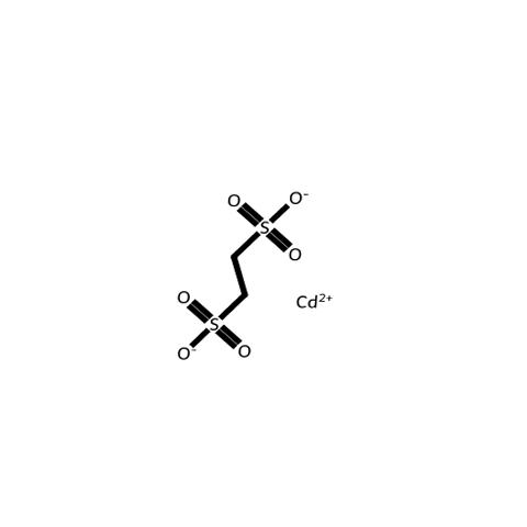 O=S(=O)([O-])CCS(=O)(=O)[O-].[Cd+2]